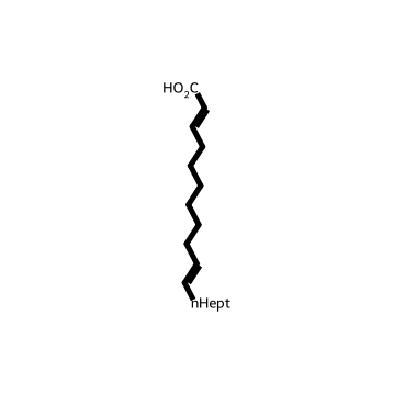 CCCCCCCC=CCCCCCCC=CC(=O)O